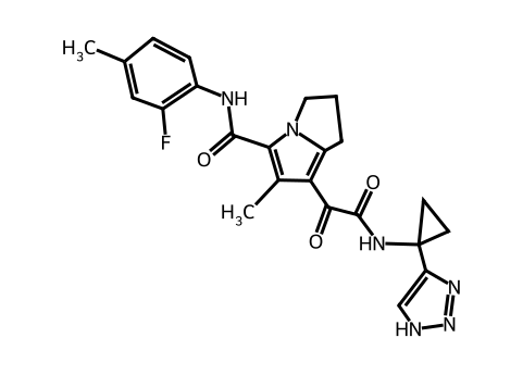 Cc1ccc(NC(=O)c2c(C)c(C(=O)C(=O)NC3(c4c[nH]nn4)CC3)c3n2CCC3)c(F)c1